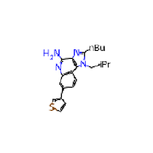 CCCCc1nc2c(N)nc3cc(-c4ccsc4)ccc3c2n1CC(C)C